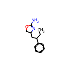 CCC(CC1COC(N)=N1)c1ccccc1